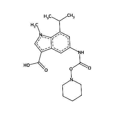 CC(C)c1cc(NC(=O)ON2CCCCC2)cc2c(C(=O)O)cn(C)c12